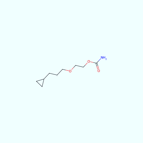 NC(=O)OCCOC[CH]CC1CC1